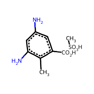 CS(=O)(=O)O.Cc1c(N)cc(N)cc1C(=O)O